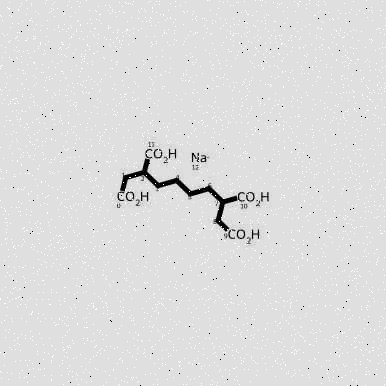 O=C(O)CC(CCCCC(CC(=O)O)C(=O)O)C(=O)O.[Na]